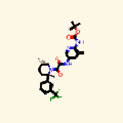 Cc1cc(NC(=O)C(=O)N2C[C@@H](C)CC[C@@]2(C)c2cccc(C(F)(F)F)c2)cnc1NC(=O)OC(C)(C)C